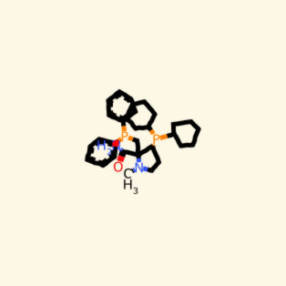 CN1CCC(P(C2CCCCC2)C2CCCCC2)C1(CP(c1ccccc1)c1ccccc1)C(N)=O